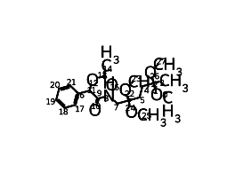 COC(C)(CCC(CNC(=O)C(OC(C)=O)c1ccccc1)(OC)OC)OC